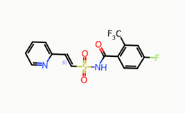 O=C(NS(=O)(=O)/C=C/c1ccccn1)c1ccc(F)cc1C(F)(F)F